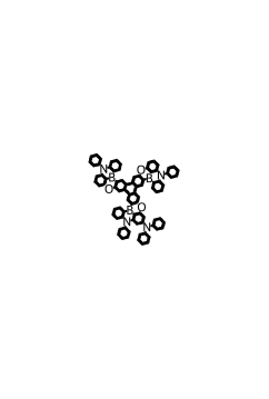 c1ccc(N(c2ccccc2)c2cc3c4c(c2)N(c2ccccc2)c2ccccc2B4c2cc4c(cc2O3)c2cc3c(cc2c2cc5c(cc24)Oc2cccc4c2B5c2ccccc2N4c2ccccc2)Oc2cccc4c2B3c2ccccc2N4c2ccccc2)cc1